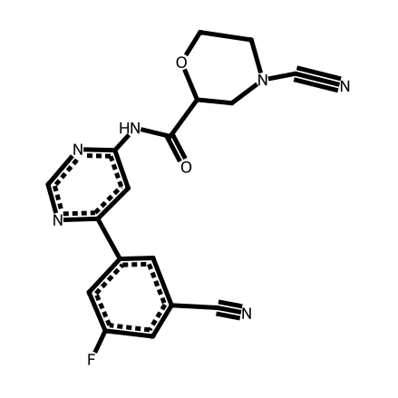 N#Cc1cc(F)cc(-c2cc(NC(=O)C3CN(C#N)CCO3)ncn2)c1